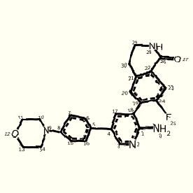 Nc1ncc(-c2ccc(N3CCOCC3)cc2)cc1-c1cc2c(cc1F)C(=O)NCC2